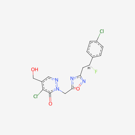 O=c1c(Cl)c(CO)cnn1Cc1nc(C[C@@H](F)c2ccc(Cl)cc2)no1